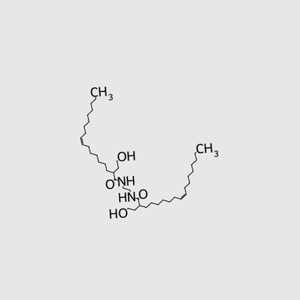 CCCCCCCC/C=C\CCCCCCC(CCO)C(=O)NCCNC(=O)C(CCO)CCCCCC/C=C\CCCCCCCC